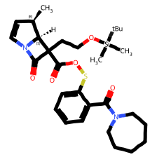 C[C@@H]1C=CN2C(=O)C(CCO[Si](C)(C)C(C)(C)C)(C(=O)OSc3ccccc3C(=O)N3CCCCCC3)[C@H]12